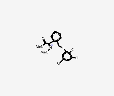 CNC(=O)/C(=N\OC)c1ccccc1COc1cc(Cl)cc(Cl)c1Cl